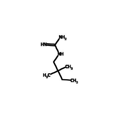 CCC(C)(C)CNC(=N)N